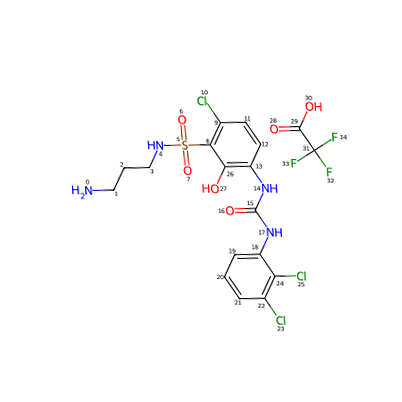 NCCCNS(=O)(=O)c1c(Cl)ccc(NC(=O)Nc2cccc(Cl)c2Cl)c1O.O=C(O)C(F)(F)F